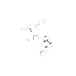 [2H]C[C@H]1O[C@@H](n2cnc3c(=O)[nH]c(NC(=O)C(C)C)nc32)C[C@H]1OP(OCCC#N)N(C(C)C)C(C)C